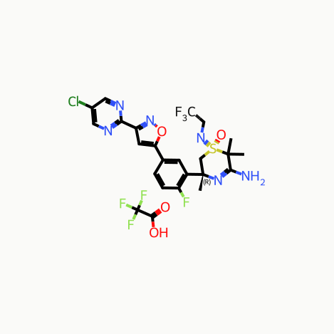 CC1(C)C(N)=N[C@](C)(c2cc(-c3cc(-c4ncc(Cl)cn4)no3)ccc2F)CS1(=O)=NCC(F)(F)F.O=C(O)C(F)(F)F